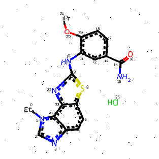 CCn1cnc2ccc3sc(Nc4cc(C(N)=O)ccc4OC(C)C)nc3c21.Cl